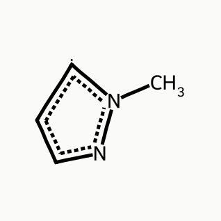 Cn1[c]ccn1